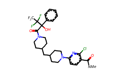 CNC(=O)c1ccc(N2CCC(CC3CCN(C(=O)C(O)(c4ccccc4)C(F)(F)C(F)(F)F)CC3)CC2)nc1Cl